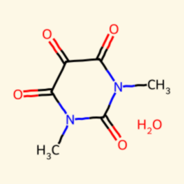 CN1C(=O)C(=O)C(=O)N(C)C1=O.O